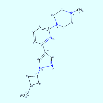 CN1CCN(c2cccc(-c3cnn(C4CC(C(=O)O)C4)c3)n2)CC1